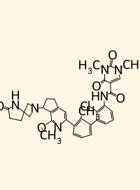 COc1nc(-c2cccc(-c3cccc(NC(=O)c4cn(C)c(=O)n(C)c4=O)c3Cl)c2C)cc2c1C(N1CC3(CCC(=O)N3)C1)CC2